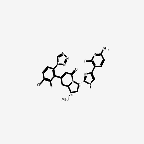 CO[C@H]1C[C@@H](c2nc(-c3ccc(N)nc3F)c[nH]2)N2C(=O)C=C(c3c(-n4cnnn4)ccc(Cl)c3F)CC12